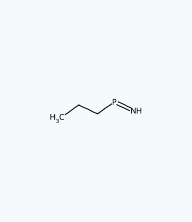 CCCP=N